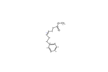 COC(=O)CC/C=C\CCc1ccccc1